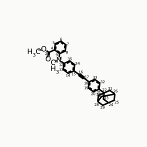 COC(=O)c1ccccc1N(C)c1ccc(C#Cc2ccc(C34CC5CC(CC(C5)C3)C4)cc2)cc1